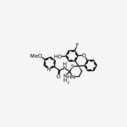 COc1ccc(C(=O)NC2(N)NCC[C@]3(S2)c2ccccc2Oc2c(F)cc(O)cc23)nc1